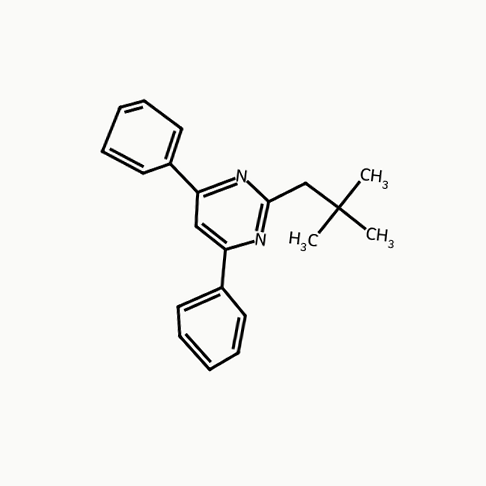 CC(C)(C)Cc1nc(-c2ccccc2)cc(-c2ccccc2)n1